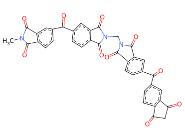 CN1C(=O)c2ccc(C(=O)c3ccc4c(c3)C(=O)N(CN3C(=O)c5ccc(C(=O)c6ccc7c(c6)C(=O)CC7=O)cc5C3=O)C4=O)cc2C1=O